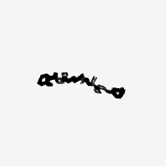 CC1CCCCC1C(C)OC(=O)CCCCSCCNC(=O)OCc1ccccc1